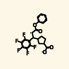 [O]C(=O)C1CCC(C([CH]C(=O)Oc2ccccc2)c2c(F)c(F)c(F)c(F)c2F)C1